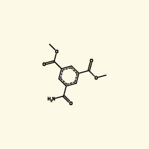 COC(=O)c1cc(C(N)=O)cc(C(=O)OC)c1